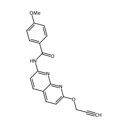 C#CCOc1ccc2ccc(NC(=O)c3ccc(OC)cc3)nc2n1